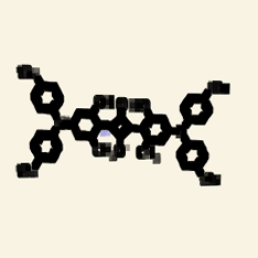 CC1=CC(=[N+](c2ccc(C(C)(C)C)cc2)c2ccc(C(C)(C)C)cc2)C=C(O)/C1=C1\C(=O)C(c2c(C)cc(N(c3ccc(C(C)(C)C)cc3)c3ccc(C(C)(C)C)cc3)cc2O)=C1[O-]